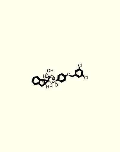 O=C(NO)[C@]1(NS(=O)(=O)c2ccc(OCc3cc(Cl)cc(Cl)c3)cc2)[C@@H]2c3ccccc3C[C@@H]21